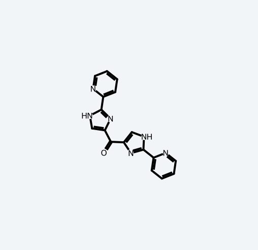 O=C(c1c[nH]c(-c2ccccn2)n1)c1c[nH]c(-c2ccccn2)n1